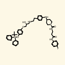 CC(C)(C)[Si](Oc1ccc(OC[C@@H](O)CNCCc2ccc(NC3CCN(C(=O)NCCC(=O)Nc4ccc(F)cc4)CC3)cc2)cc1)(c1ccccc1)c1ccccc1